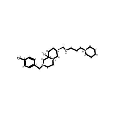 Clc1ccc(CN2CCN3C[C@H](COCCCN4CCCCC4)CC[C@H]3C2)cc1